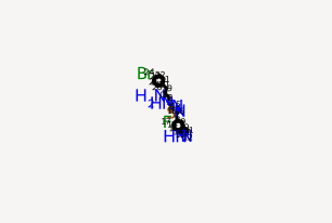 NC(CNc1nnc(-c2cc3cn[nH]c3cc2F)s1)Cc1ccc(Br)cc1